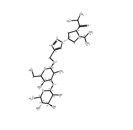 CC(C)C(=O)[C@@H]1C[C@@H](n2cc(CO[C@@H]3OC(CO)[C@H](O)[C@H](O[C@@H]4OC(C)[C@@H](O)[C@H](O)C4O)C3C)nn2)CN1C(C)C